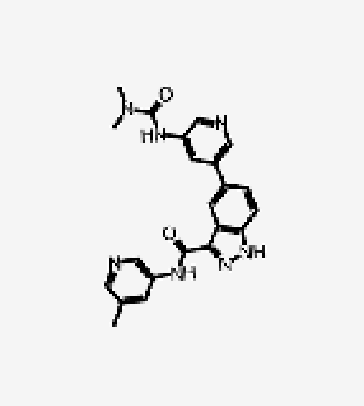 Cc1cncc(NC(=O)c2n[nH]c3ccc(-c4cncc(NC(=O)N(C)C)c4)cc23)c1